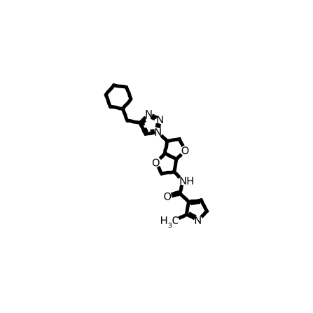 CC1=NCC=C1C(=O)NC1COC2C1OCC2n1cc(CC2CCCCC2)nn1